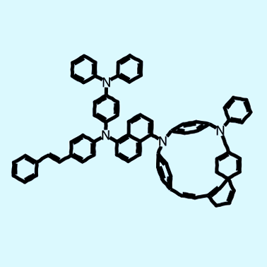 C1=CC23C=CC(=CC2)N(c2ccccc2)c2ccc(cc2)N(c2cccc4c(N(c5ccc(C=Cc6ccccc6)cc5)c5ccc(N(c6ccccc6)c6ccccc6)cc5)cccc24)c2ccc(cc2)C=CC(=C3)C1